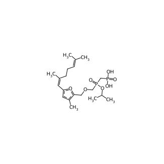 CC(C)=CCCC(C)=Cc1cc(C)c(COCP(=O)(CP(=O)(O)O)OC(C)C)o1